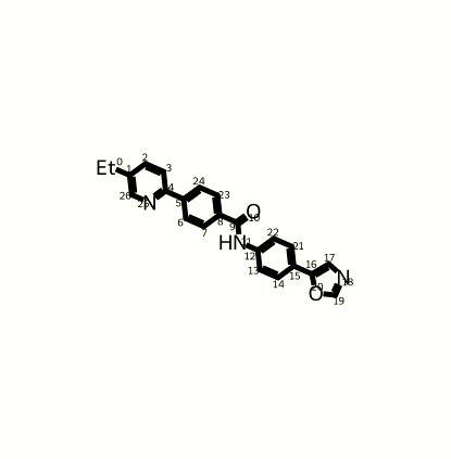 CCc1ccc(-c2ccc(C(=O)Nc3ccc(-c4cnco4)cc3)cc2)nc1